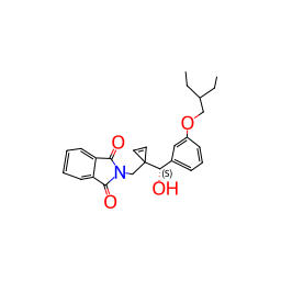 CCC(CC)COc1cccc([C@H](O)C2(CN3C(=O)c4ccccc4C3=O)C=C2)c1